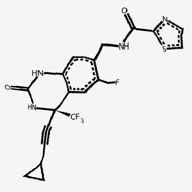 O=C1Nc2cc(CNC(=O)c3nccs3)c(F)cc2[C@@](C#CC2CC2)(C(F)(F)F)N1